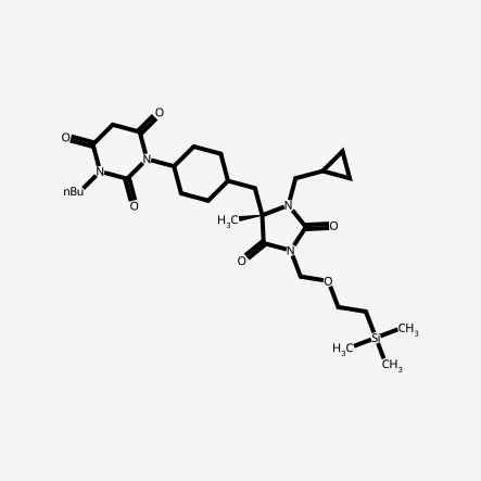 CCCCN1C(=O)CC(=O)N(C2CCC(C[C@@]3(C)C(=O)N(COCC[Si](C)(C)C)C(=O)N3CC3CC3)CC2)C1=O